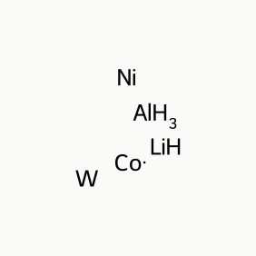 [AlH3].[Co].[LiH].[Ni].[W]